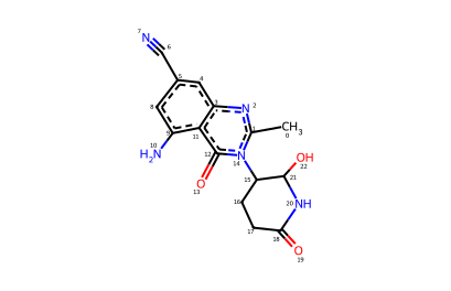 Cc1nc2cc(C#N)cc(N)c2c(=O)n1C1CCC(=O)NC1O